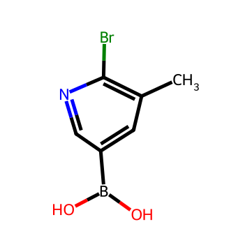 Cc1cc(B(O)O)cnc1Br